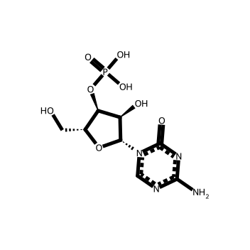 Nc1ncn([C@@H]2O[C@H](CO)[C@@H](OP(=O)(O)O)[C@H]2O)c(=O)n1